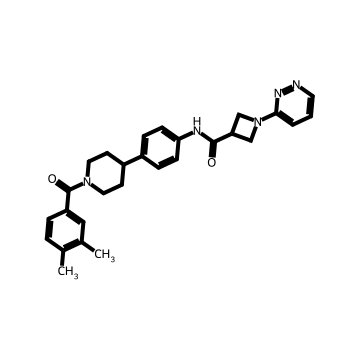 Cc1ccc(C(=O)N2CCC(c3ccc(NC(=O)C4CN(c5cccnn5)C4)cc3)CC2)cc1C